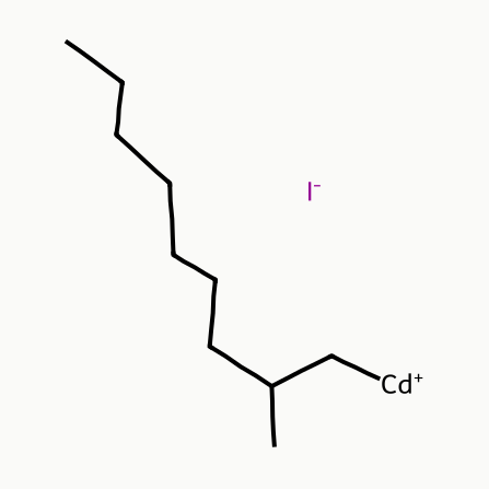 CCCCCCCC(C)[CH2][Cd+].[I-]